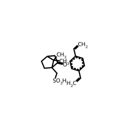 C=Cc1ccc(C=C)cc1.CC1(C)C2CCC1(CS(=O)(=O)O)C(=O)C2